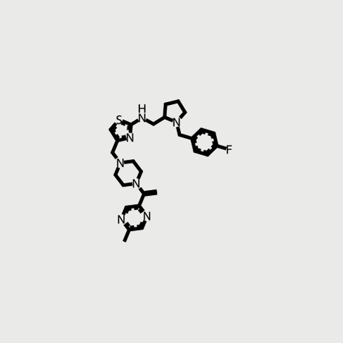 C=C(c1cnc(C)cn1)N1CCN(Cc2csc(NCC3CCCN3Cc3ccc(F)cc3)n2)CC1